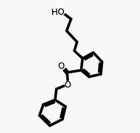 O=C(OCc1ccccc1)c1ccccc1CCCCO